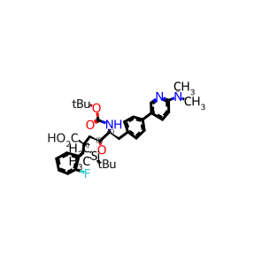 CN(C)c1ccc(-c2ccc(C[C@H](NC(=O)OC(C)(C)C)[C@H](C[C@@H](Cc3ccccc3F)C(=O)O)O[Si](C)(C)C(C)(C)C)cc2)cn1